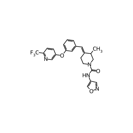 CC1CN(C(=O)Nc2cnoc2)CC/C1=C\c1cccc(Oc2ccc(C(F)(F)F)nc2)c1